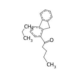 CCC.CCCCC(=O)c1cccc2c1Cc1ccccc1-2